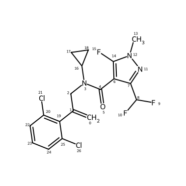 C=C(CN(C(=O)c1c(C(F)F)nn(C)c1F)C1CC1)c1c(Cl)cccc1Cl